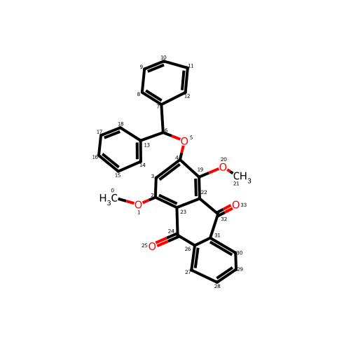 COc1cc(OC(c2ccccc2)c2ccccc2)c(OC)c2c1C(=O)c1ccccc1C2=O